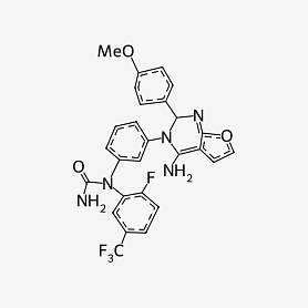 COc1ccc(C2N=c3occc3=C(N)N2c2cccc(N(C(N)=O)c3cc(C(F)(F)F)ccc3F)c2)cc1